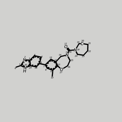 Cc1nc2ccc(-c3cc(C)c4c(c3)CN(C(=O)N3CCCCCC3)CCO4)cc2[nH]1